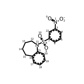 O=[N+]([O-])c1cccc(S(=O)(=O)N2CCCCc3ccccc32)c1